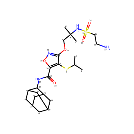 CC(C)Sc1c(OCC(C)(C)NS(=O)(=O)CCN)noc1C(=O)NC1C2CC3CC(C2)CC1C3